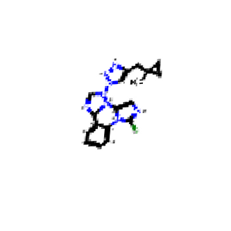 CC1(Cc2cn(N3C=NC4c5ccccc5-n5c(cnc5F)N43)nn2)CC1